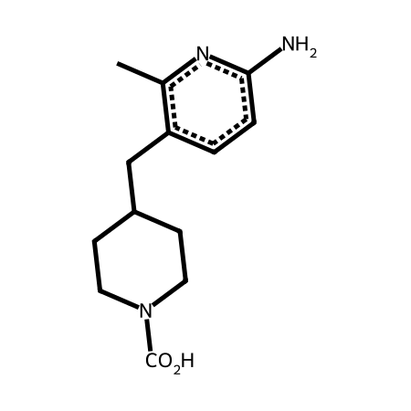 Cc1nc(N)ccc1CC1CCN(C(=O)O)CC1